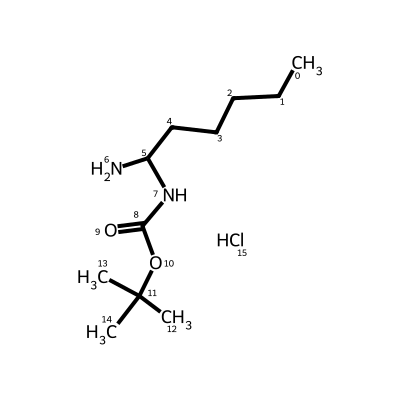 CCCCCC(N)NC(=O)OC(C)(C)C.Cl